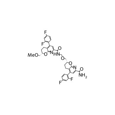 COC[C@@H]1CCc2c(-c3ccc(F)cc3F)cc(C(=O)NCOC[C@H]3CCc4c(-c5ccc(F)cc5F)cc(C(N)=O)nc4O3)nc2O1